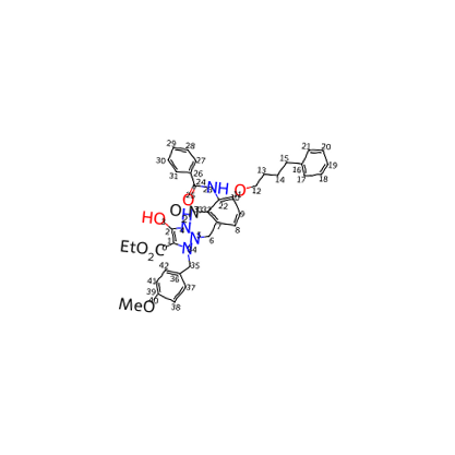 CCOC(=O)C1=C(O)NN(Cc2ccc(OCCCCc3ccccc3)c(NC(=O)c3ccccc3)c2[N+](=O)[O-])N1Cc1ccc(OC)cc1